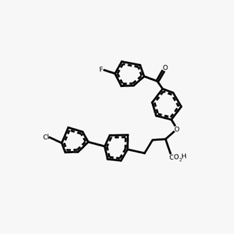 O=C(c1ccc(F)cc1)c1ccc(OC(CCc2ccc(-c3ccc(Cl)cc3)cc2)C(=O)O)cc1